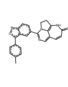 Cc1ccc(-c2onc3ccc(C4=NC=C5C=CC(=O)NC6=C5N4CC6)cc23)cc1